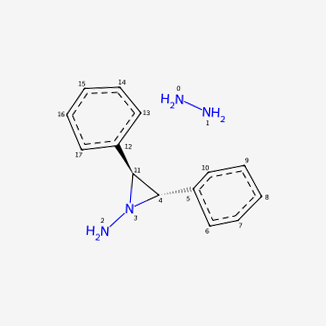 NN.NN1[C@@H](c2ccccc2)[C@@H]1c1ccccc1